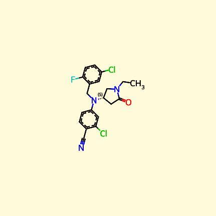 CCN1C[C@@H](N(Cc2cc(Cl)ccc2F)c2ccc(C#N)c(Cl)c2)CC1=O